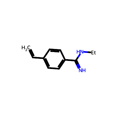 C=Cc1ccc(C(=N)NCC)cc1